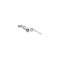 CCCCCCCCc1ccc(-c2nnc(-c3ccc(O)cc3)s2)cc1